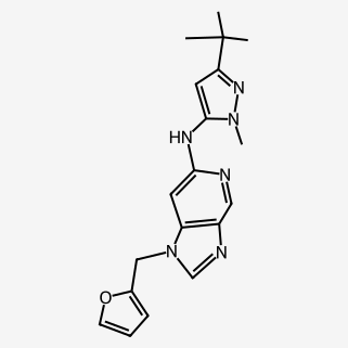 Cn1nc(C(C)(C)C)cc1Nc1cc2c(cn1)ncn2Cc1ccco1